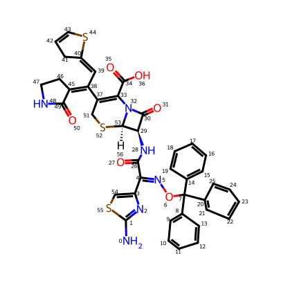 Nc1nc(C(=NOC(c2ccccc2)(c2ccccc2)c2ccccc2)C(=O)N[C@@H]2C(=O)N3C(C(=O)O)=C(C(C=C4CC=CS4)=C4CCNC4=O)CS[C@H]23)cs1